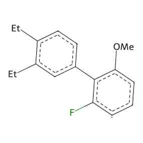 CCc1ccc(-c2c(F)[c]ccc2OC)cc1CC